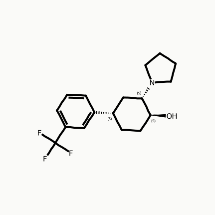 O[C@H]1CC[C@H](c2cccc(C(F)(F)F)c2)C[C@@H]1N1CCCC1